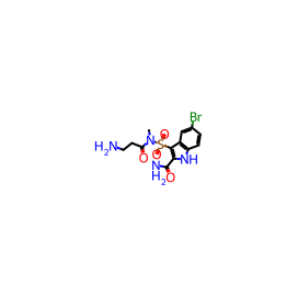 CN(C(=O)CCN)S(=O)(=O)c1c(C(N)=O)[nH]c2ccc(Br)cc12